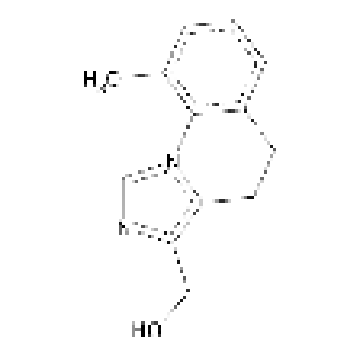 Cc1cccc2c1-n1cnc(CO)c1CC2